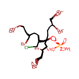 O=P(O)(O)OC(CC(Br)CBr)(CC(Br)CBr)C(CCl)CC(Br)CBr